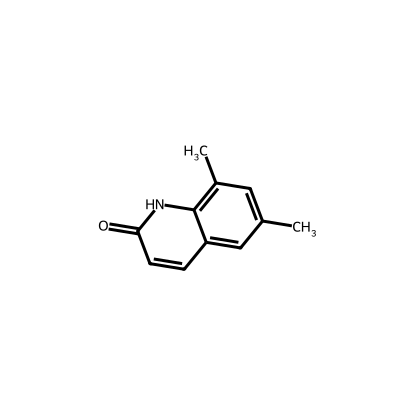 Cc1cc(C)c2[nH]c(=O)ccc2c1